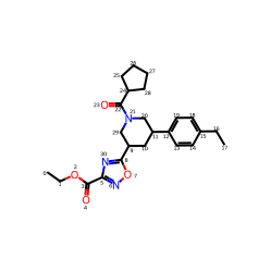 CCOC(=O)c1noc(C2CC(c3ccc(CC)cc3)CN(C(=O)C3CCCC3)C2)n1